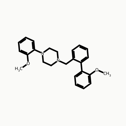 COc1ccccc1-c1ccccc1CN1CCN(c2ccccc2OC)CC1